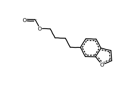 O=[C]OCCCCc1ccc2ccoc2c1